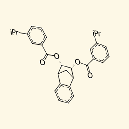 CC(C)c1cccc(C(=O)O[C@@H]2C3CC(c4ccccc43)[C@@H]2OC(=O)c2cccc(C(C)C)c2)c1